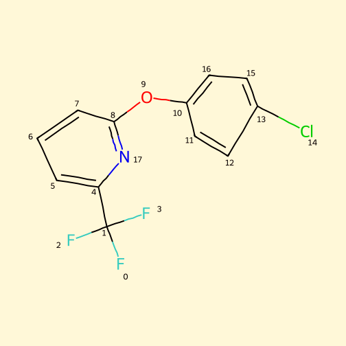 FC(F)(F)c1cccc(Oc2ccc(Cl)cc2)n1